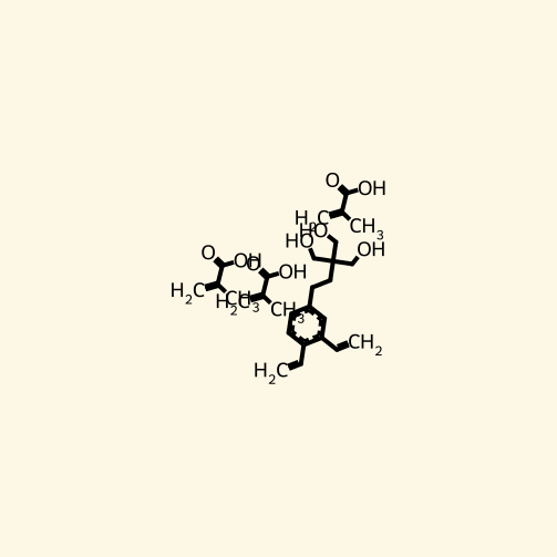 C=C(C)C(=O)O.C=C(C)C(=O)O.C=C(C)C(=O)O.C=Cc1ccc(CCC(CO)(CO)CO)cc1C=C